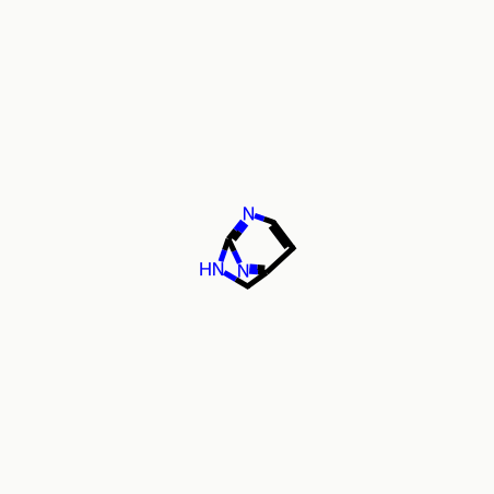 c1cc2nc(n1)NC2